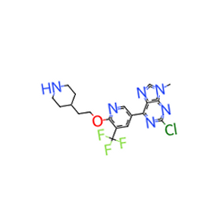 Cn1cnc2c(-c3cnc(OCCC4CCNCC4)c(C(F)(F)F)c3)nc(Cl)nc21